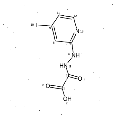 O=C(O)C(=O)NNc1cc(I)ccn1